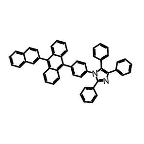 c1ccc(-c2nc(-c3ccccc3)n(-c3ccc(-c4c5ccccc5c(-c5ccc6ccccc6c5)c5ccccc45)cc3)c2-c2ccccc2)cc1